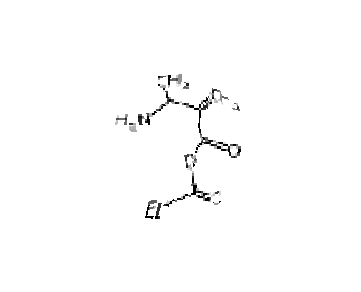 C=C(C(=O)OC(=O)CC)C(C)N